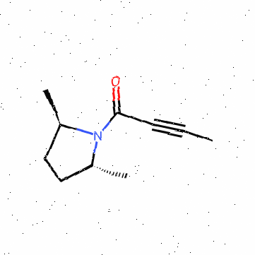 CC#CC(=O)N1[C@H](C)CC[C@H]1C